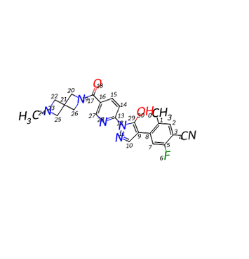 Cc1cc(C#N)c(F)cc1-c1cnn(-c2ccc(C(=O)N3CC4(CN(C)C4)C3)cn2)c1O